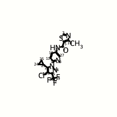 Cc1ncsc1C(=O)Nc1ccc(-n2nc(C(F)(F)F)c(Cl)c2C2CC2)nc1